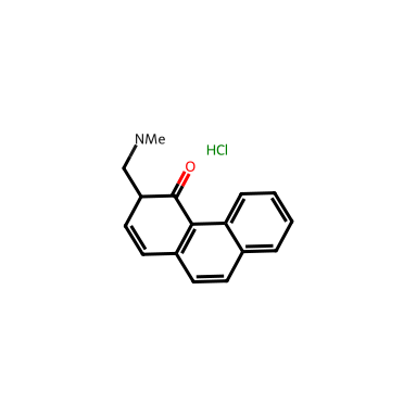 CNCC1C=Cc2ccc3ccccc3c2C1=O.Cl